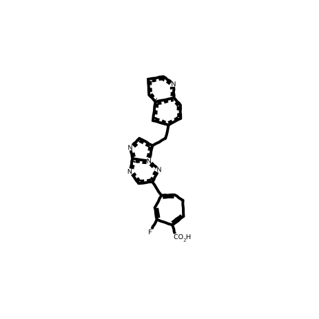 O=C(O)C1=CCC=C(c2cnc3ncc(Cc4ccc5ncccc5c4)n3n2)C=C1F